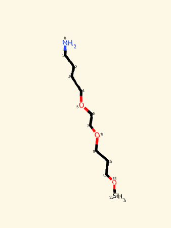 NCCCCOCCOCCCO[SiH3]